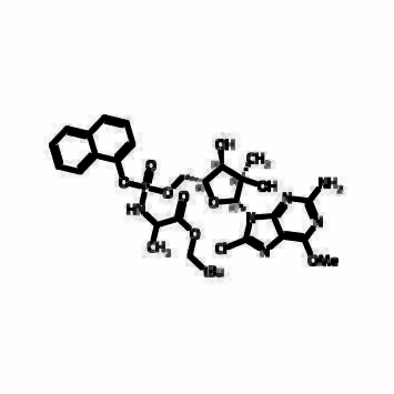 COc1nc(N)nc2c1nc(Cl)n2[C@@H]1O[C@H](COP(=O)(NC(C)C(=O)OCC(C)(C)C)Oc2cccc3ccccc23)[C@@H](O)[C@@]1(C)O